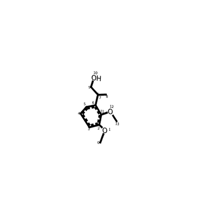 COc1cccc([C](C)CO)c1OC